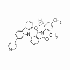 Cc1cc(C)c(N2C(=O)c3cccc(-n4c5ccccc5c5ccc(-c6ccncc6)cc54)c3C2=O)c(C)c1